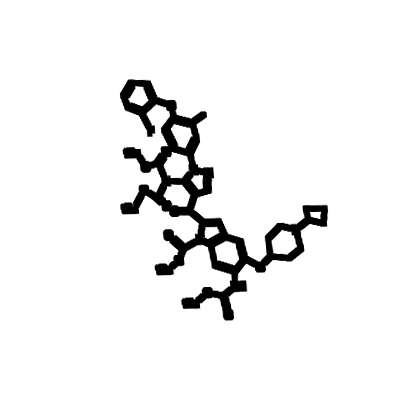 Cc1cc(-n2ncc(C(=O)c3cc4cc(OC5CCN(C6CCC6)CC5)c(NC(=O)OC(C)(C)C)cc4n3C(=O)OC(C)(C)C)c2N(C(=O)OC(C)(C)C)C(=O)OC(C)(C)C)ccc1Oc1ccccc1F